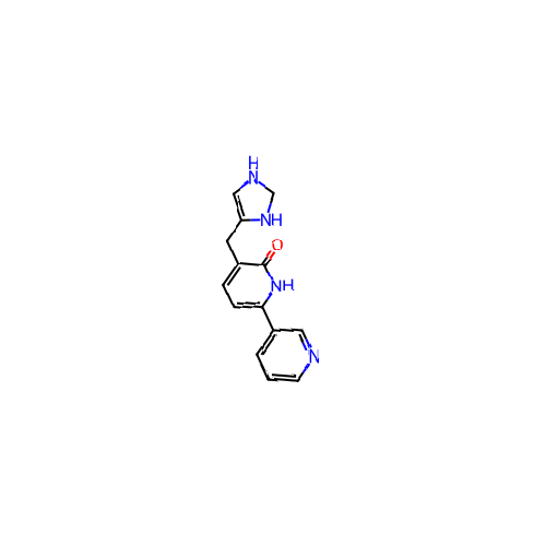 O=c1[nH]c(-c2cccnc2)ccc1CC1=CNCN1